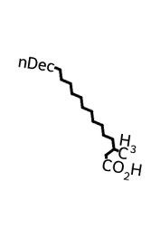 CCCCCCCCCCCCCCCCCCCCCC(C)CC(=O)O